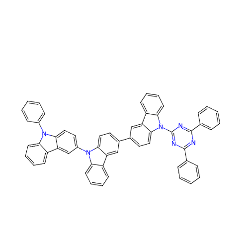 c1ccc(-c2nc(-c3ccccc3)nc(-n3c4ccccc4c4cc(-c5ccc6c(c5)c5ccccc5n6-c5ccc6c(c5)c5ccccc5n6-c5ccccc5)ccc43)n2)cc1